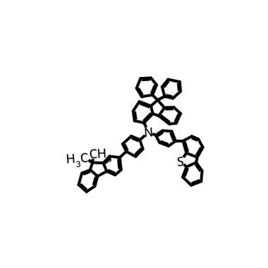 CC1(C)c2ccccc2-c2ccc(-c3ccc(N(c4ccc(-c5cccc6c5sc5ccccc56)cc4)c4cccc5c4-c4ccccc4C5(c4ccccc4)c4ccccc4)cc3)cc21